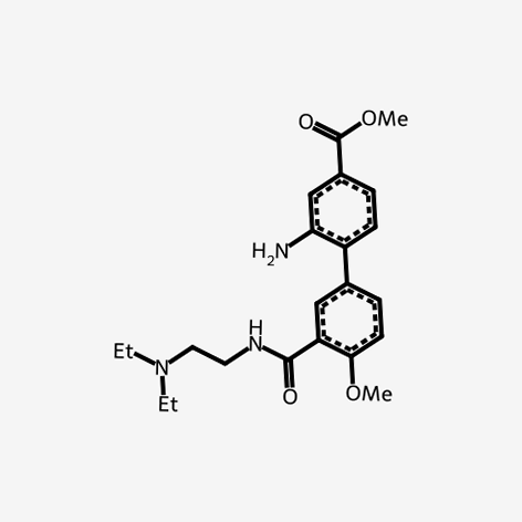 CCN(CC)CCNC(=O)c1cc(-c2ccc(C(=O)OC)cc2N)ccc1OC